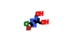 OCc1cn(CO)c2nc(Cl)c(Br)nc12